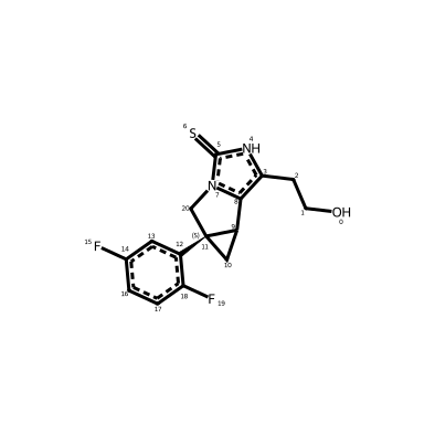 OCCc1[nH]c(=S)n2c1C1C[C@]1(c1cc(F)ccc1F)C2